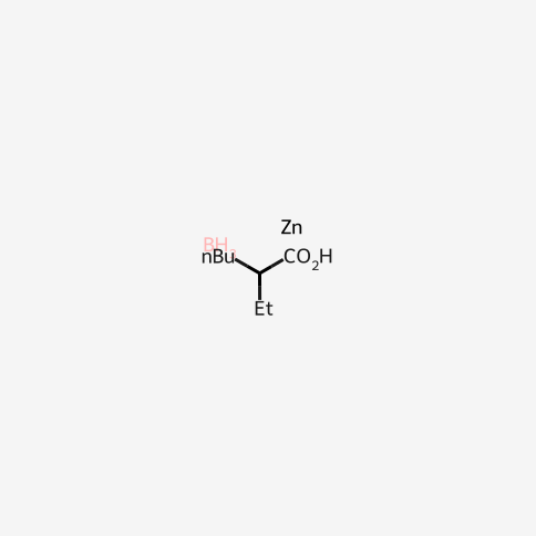 B.CCCCC(CC)C(=O)O.[Zn]